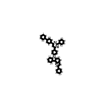 c1ccc(-c2ccc(-c3cc(-c4ccc(-n5c6ccccc6c6c7sc(-c8ccccc8)cc7ccc65)cc4)nc(-c4ccccc4)n3)cc2)cc1